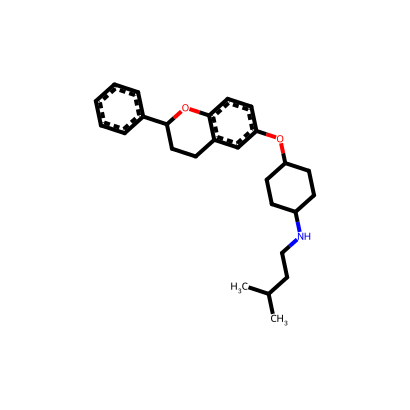 CC(C)CCNC1CCC(Oc2ccc3c(c2)CCC(c2ccccc2)O3)CC1